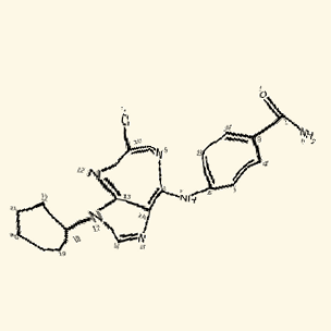 NC(=O)c1ccc(Nc2nc(Cl)nc3c2ncn3C2CCCC2)cc1